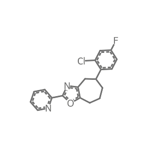 Fc1ccc(C2CCCc3oc(-c4ccccn4)nc3C2)c(Cl)c1